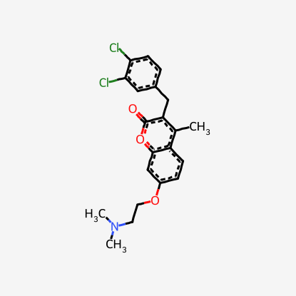 Cc1c(Cc2ccc(Cl)c(Cl)c2)c(=O)oc2cc(OCCN(C)C)ccc12